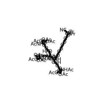 CC(=O)NC1CC(OC(C)=O)C(COC(C)=O)OC1OCCOCCNC(=O)C(CCC(=O)NC(CCC(=O)NCCOCCOC1OC(COC(C)=O)C(OC(C)=O)C(OC(C)=O)C1NC(C)=O)C(=O)NCCOCCOC1OC(COC(C)=O)C(OC(C)=O)C(OC(C)=O)C1NC(C)=O)NC(=O)CCOCCOCCOCCOCCOCCOCCOP(OCCC#N)N(C(C)C)C(C)C